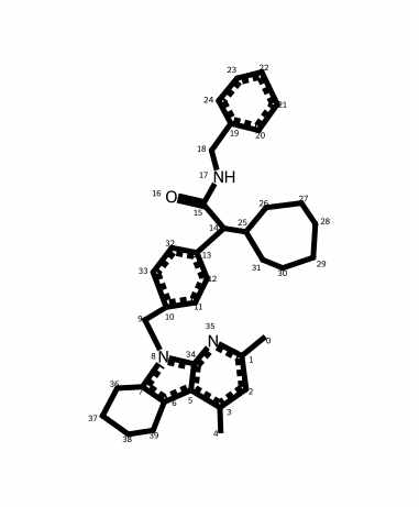 Cc1cc(C)c2c3c(n(Cc4ccc(C(C(=O)NCc5ccccc5)C5CCCCCC5)cc4)c2n1)CCCC3